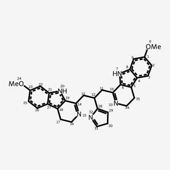 COc1ccc2c3c([nH]c2c1)C(CC(CC1=NCCc2c1[nH]c1cc(OC)ccc21)C1=CCC=N1)=NCC3